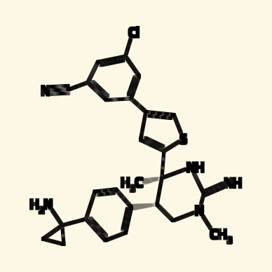 CN1C[C@H](c2ccc(C3(N)CC3)cc2)[C@@](C)(c2cc(-c3cc(Cl)cc(C#N)c3)cs2)NC1=N